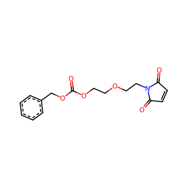 O=C(OCCOCCN1C(=O)C=CC1=O)OCc1ccccc1